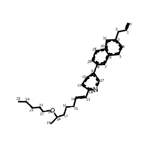 C=CCc1ccc2cc(-c3ccc(C=CCCCC(C)OCCCCC)nc3)ccc2c1